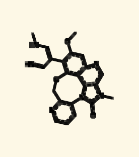 CN/C=C(\C=N)c1c(OC)cc2ncc3c4c2c1OCc1ncccc1-n4c(=O)n3C